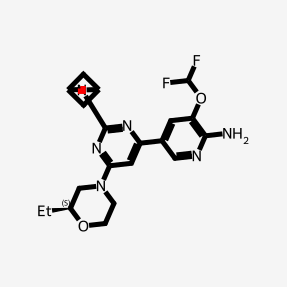 CC[C@H]1CN(c2cc(-c3cnc(N)c(OC(F)F)c3)nc(N3CC4CC3C4)n2)CCO1